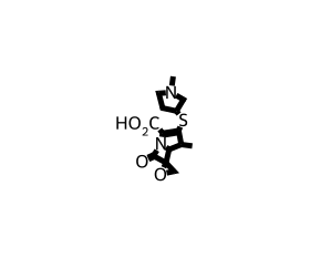 CC1C(SC2CCN(C)C2)=C(C(=O)O)N2C(=O)C3(CO3)C12